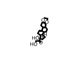 C[C@]12CC=C3C4=C(CC[C@H]3[C@@H]1CC[C@]2(O)C(=O)CO)CC1(CC4)OCCO1